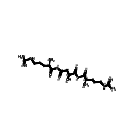 N=C(N)NCCC[C@@H](N)C(=O)OC(=O)CC(O)C(=O)OC(=O)[C@H](N)CCCNC(=N)N